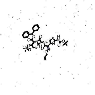 C=CCO/N=C(\C(=O)N[C@@H]1C(=O)N2C(C(=O)OC(c3ccccc3)c3ccccc3)=C(OS(C)(=O)=O)CS[C@@H]12)c1csc(NC(=O)OC(C)(C)C)n1